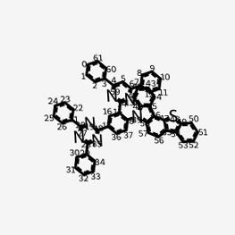 c1ccc(-c2cc(-c3ccccc3)nc(-c3cc(-c4nc(-c5ccccc5)nc(-c5ccccc5)n4)ccc3-n3c4ccccc4c4c5sc6ccccc6c5ccc43)n2)cc1